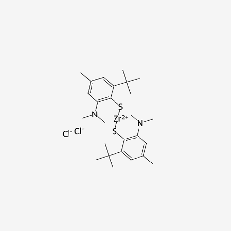 Cc1cc(N(C)C)c([S][Zr+2][S]c2c(N(C)C)cc(C)cc2C(C)(C)C)c(C(C)(C)C)c1.[Cl-].[Cl-]